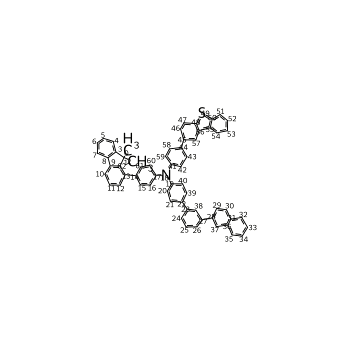 CC1(C)c2ccccc2-c2cccc(-c3ccc(N(c4ccc(-c5cccc(-c6ccc7ccccc7c6)c5)cc4)c4ccc(-c5ccc6sc7ccccc7c6c5)cc4)cc3)c21